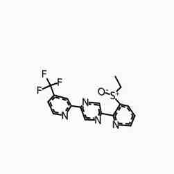 CC[S+]([O-])c1cccnc1-c1cnc(-c2cc(C(F)(F)F)ccn2)cn1